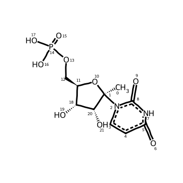 C[C@@]1(n2ccc(=O)[nH]c2=O)O[C@H](COP(=O)(O)O)[C@@H](O)[C@H]1O